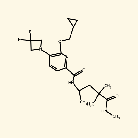 CNC(=O)C(C)(C)CC(C)NC(=O)c1ccc(N2CC(F)(F)C2)c(OCC2CC2)n1